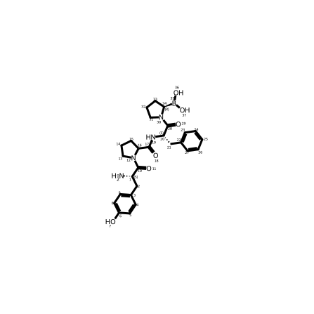 N[C@@H](Cc1ccc(O)cc1)C(=O)N1CCCC1C(=O)N[C@@H](Cc1ccccc1)C(=O)N1CCC[C@H]1B(O)O